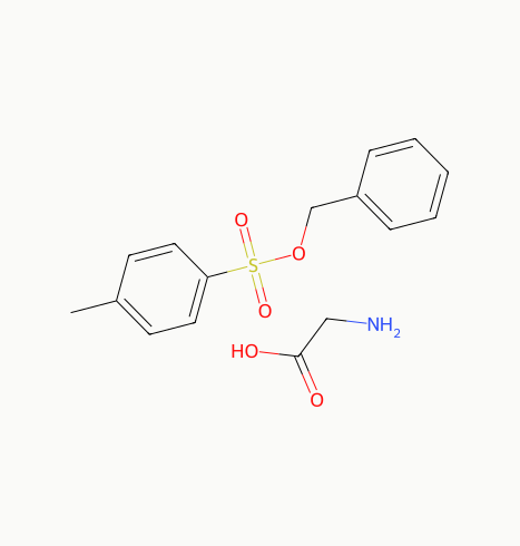 Cc1ccc(S(=O)(=O)OCc2ccccc2)cc1.NCC(=O)O